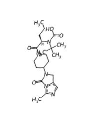 CCC[C@H](C(=O)N1CCC(N2Cc3cnc(C)n3C2=O)CC1)N(C(=O)O)C(C)(C)C